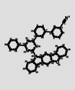 N#Cc1cccc(-c2cccc(-c3nc(-c4ccccc4)nc(-n4c5ccccc5c5cc6oc7ccccc7c6cc54)n3)c2)c1